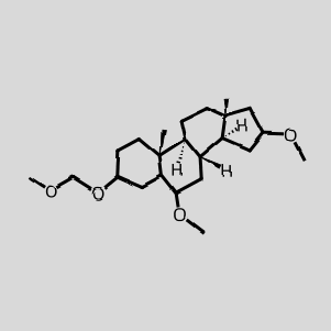 COCOC1CC[C@@]2(C)C(C1)C(OC)C[C@H]1[C@@H]3CC(OC)C[C@@]3(C)CC[C@@H]12